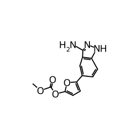 COC(=O)Oc1ccc(-c2ccc3[nH]nc(N)c3c2)o1